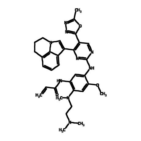 C=CC(=O)Nc1cc(Nc2ncc(-c3nnc(C)o3)c(-c3cn4c5c(cccc35)CCC4)n2)c(OC)cc1N(C)CCN(C)C